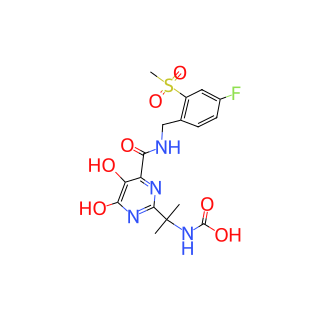 CC(C)(NC(=O)O)c1nc(O)c(O)c(C(=O)NCc2ccc(F)cc2S(C)(=O)=O)n1